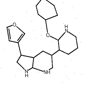 c1cc(C2CNC3NCC(C4CCCNC4OC4CCCCC4)CC32)co1